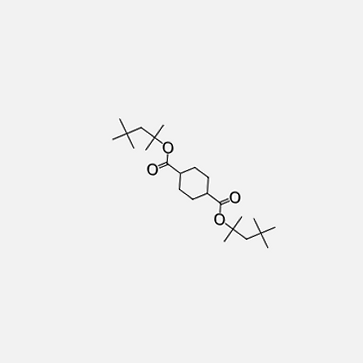 CC(C)(C)CC(C)(C)OC(=O)C1CCC(C(=O)OC(C)(C)CC(C)(C)C)CC1